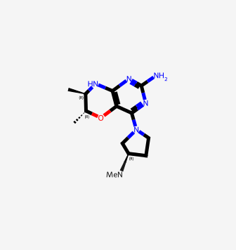 CN[C@@H]1CCN(c2nc(N)nc3c2O[C@H](C)[C@@H](C)N3)C1